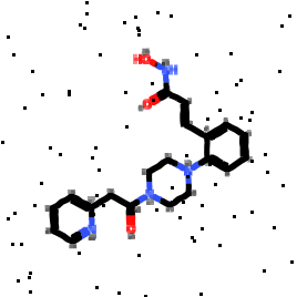 O=C(/C=C/c1ccccc1N1CCN(C(=O)Cc2ccccn2)CC1)NO